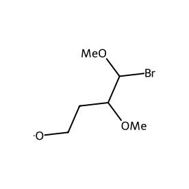 COC(Br)C(CC[O])OC